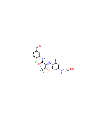 Cc1cc(N(C)CCO)ccc1/N=C(/C(=O)Nc1cc(C=O)ccc1Cl)C(=O)C(C)(C)C